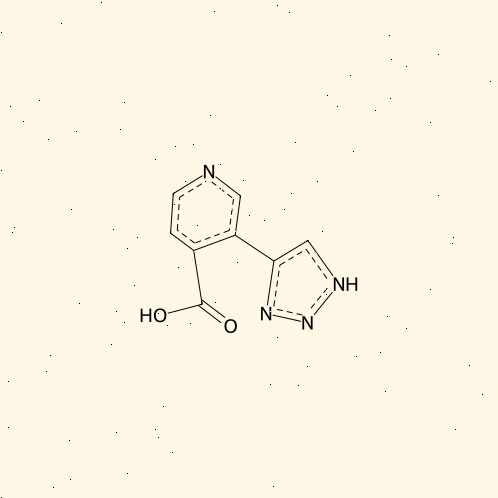 O=C(O)c1ccncc1-c1c[nH]nn1